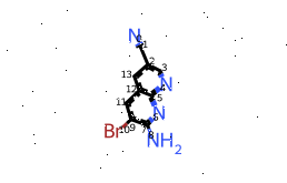 N#Cc1cnc2nc(N)c(Br)cc2c1